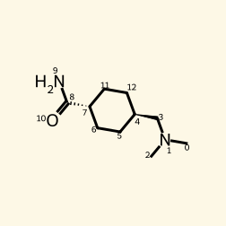 CN(C)C[C@H]1CC[C@H](C(N)=O)CC1